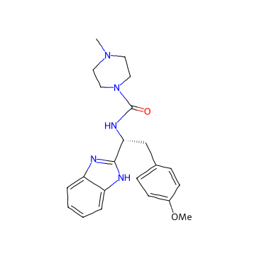 COc1ccc(C[C@@H](NC(=O)N2CCN(C)CC2)c2nc3ccccc3[nH]2)cc1